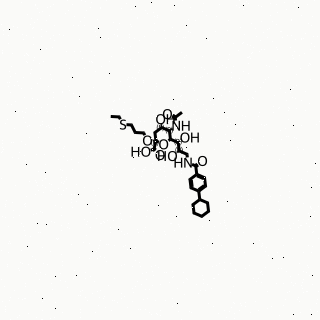 CCSCCCO[C@]1(C(=O)O)C[C@H](O)[C@@H](NC(C)=O)C([C@H](O)[C@H](O)CNC(=O)c2ccc(C3CCCCC3)cc2)O1